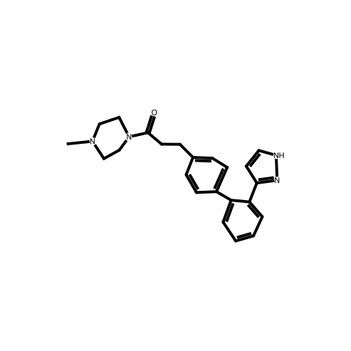 CN1CCN(C(=O)CCc2ccc(-c3ccccc3-c3cc[nH]n3)cc2)CC1